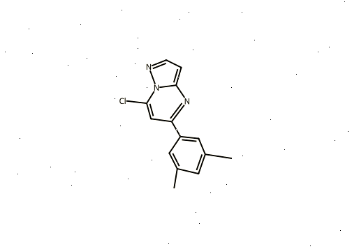 Cc1cc(C)cc(-c2cc(Cl)n3nccc3n2)c1